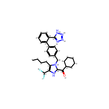 CCCCC1=C(C(F)F)NC(C(=O)C2CCCCC2)N1Cc1ccc(-c2ccccc2-c2nnn[nH]2)cc1